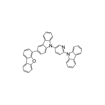 c1ccc2c(c1)oc1c(-c3ccc4c(c3)c3ccccc3n4-c3ccc(-n4c5ccccc5c5ccccc54)nc3)cccc12